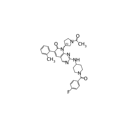 CC(=O)N1CC[C@H](n2c(=O)c(-c3ccccc3C)cc3cnc(NC4CCN(C(=O)c5ccc(F)cc5)CC4)nc32)C1